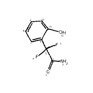 NC(=O)C(F)(F)c1ccccc1O